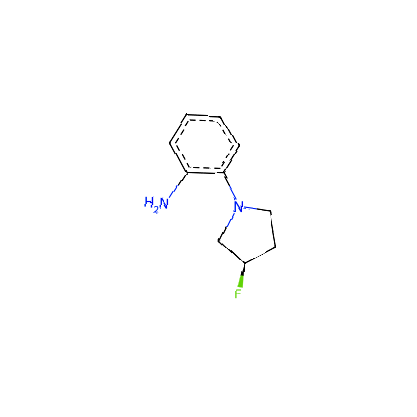 Nc1ccccc1N1CC[C@@H](F)C1